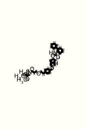 COC(CN(C)C(=O)CCOCCc1ccc(CN2CC3C[C@H](OC(=O)Nc4ccccc4-c4ccccc4)C[C@H]3C2)cc1)OC